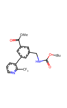 COC(=O)c1cc(CNC(=O)OC(C)(C)C)cc(-c2cccnc2C(F)(F)F)c1